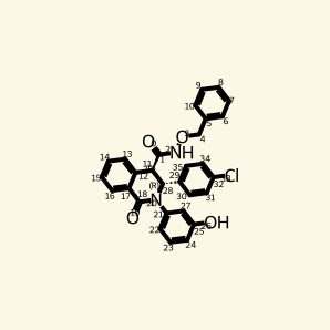 O=C(NOCc1ccccc1)[C@@H]1c2ccccc2C(=O)N(c2cccc(O)c2)[C@H]1c1ccc(Cl)cc1